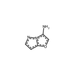 Nc1coc2ccnn12